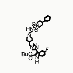 CC(C)COC(=O)c1[nH]c2ccc(F)cc2c1-c1cn(CC2CCN(CCNS(=O)(=O)N3CCC(c4ccccc4)CC3)CC2)nn1